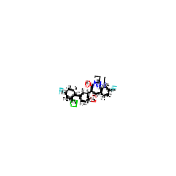 CNC(=O)C1c2cc(-c3ccc(F)cc3Cl)ccc2OC1c1ccc(F)cc1